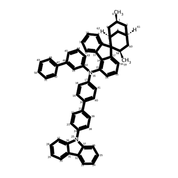 C[C@H]1C[C@@H]2C[C@H](C1)C1(c3ccccc3-c3c(N(c4ccc(-c5ccc(-n6c7ccccc7c7ccccc76)cc5)cc4)c4cccc(-c5ccccc5)c4)cccc31)[C@H](C)C2